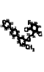 Cc1ncc(-c2ccc(N3CCOCC3)nc2)cc1OCCc1c(Cl)ccc(F)c1Cl